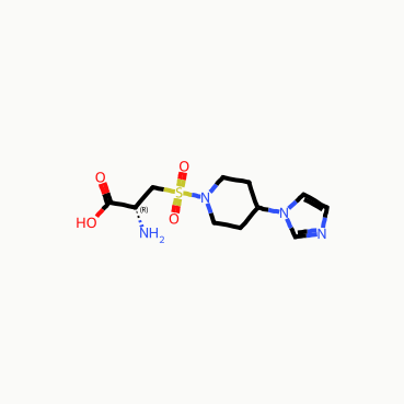 N[C@@H](CS(=O)(=O)N1CCC(n2ccnc2)CC1)C(=O)O